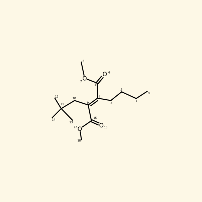 CCCCC(C(=O)OC)=C(CC(C)(C)C)C(=O)OC